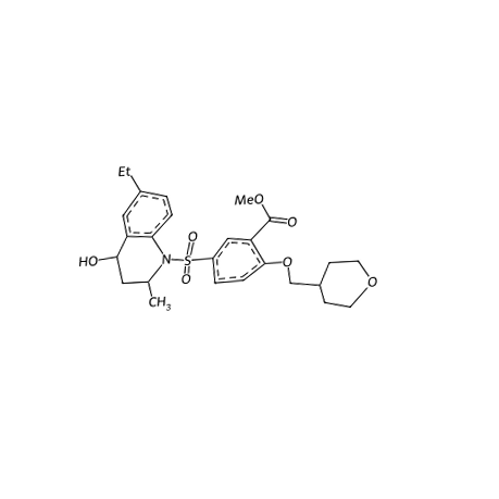 CCc1ccc2c(c1)C(O)CC(C)N2S(=O)(=O)c1ccc(OCC2CCOCC2)c(C(=O)OC)c1